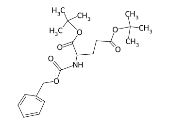 CC(C)(C)OC(=O)CCC(NC(=O)OCc1ccccc1)C(=O)OC(C)(C)C